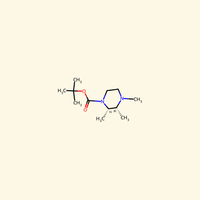 C[C@@H]1[C@H](C)N(C(=O)OC(C)(C)C)CCN1C